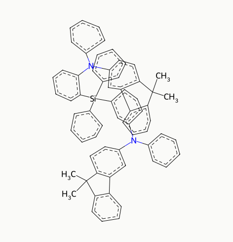 CC1(C)c2ccccc2-c2cc(N(c3ccccc3)c3cccc([Si](c4ccccc4)(c4ccccc4)c4ccccc4N(c4ccccc4)c4ccc5c(c4)-c4ccccc4C5(C)C)c3)ccc21